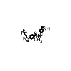 Cc1cc([SH]2CCN=C2CCC(F)(F)F)ccc1C(=O)N=[N+]=Nc1ccc2cc[nH]c2c1